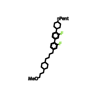 CCCCCC1CCC(c2ccc(-c3ccc(CCCCC4CCC(CCCOC)CC4)cc3F)cc2F)CC1